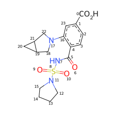 O=C(O)c1ccc(C(=O)NS(=O)(=O)N2CCCC2)c(N2CC3CC3C2)c1